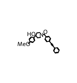 COc1ccc(C2(O)CCN(C(=O)c3ccc(C#Cc4ccccc4)cc3)CC2)cc1